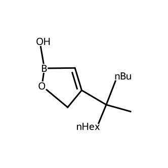 CCCCCCC(C)(CCCC)C1=CB(O)OC1